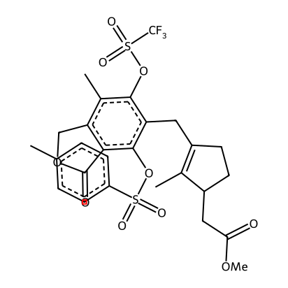 COC(=O)CC1CCC(Cc2c(OS(=O)(=O)C(F)(F)F)c(C)c3c(c2OS(=O)(=O)c2ccc(C)cc2)C(=O)OC3)=C1C